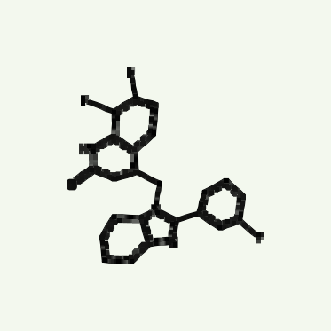 O=c1cc(Cn2c(-c3cccc(F)c3)nc3ccccc32)c2ccc(F)c(F)c2[nH]1